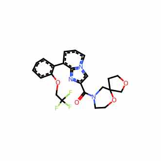 O=C(c1cn2cccc(-c3ccccc3OCC(F)(F)F)c2n1)N1CCOC2(CCOC2)C1